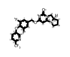 O=c1nc(OCc2cc(F)c(Oc3ccc(C(F)(F)F)nc3)c(F)c2)cc2n1C[C@H]1CCCN21